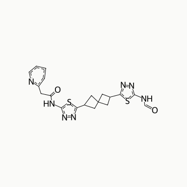 O=CNc1nnc(C2CC3(C2)CC(c2nnc(NC(=O)Cc4ccccn4)s2)C3)s1